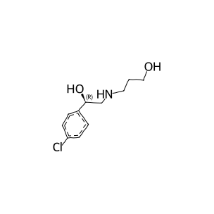 OCCCNC[C@H](O)c1ccc(Cl)cc1